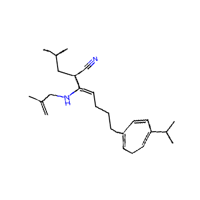 C=C(C)CNC(=CCCCC1=CCC=C(C(C)C)C=C1)C(C#N)CC(C)C